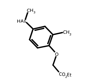 CCOC(=O)COc1ccc([AsH]C)cc1C